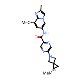 CN[C@H]1CC12CN(c1cnc(C(=O)Nc3cc(OC)c4nc(C)cn4c3)cn1)C2